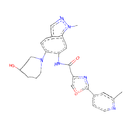 Cc1cc(-c2nc(C(=O)Nc3cc4c(cnn4C)cc3N3CCCC(O)C3)co2)ccn1